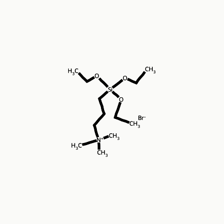 CCO[Si](CCC[N+](C)(C)C)(OCC)OCC.[Br-]